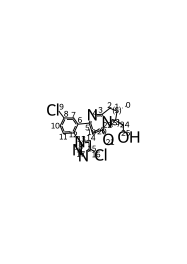 C[C@H]1Cc2nc(-c3cc(Cl)ccc3-n3cc(Cl)nn3)cc(=O)n2[C@@H]1CO